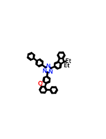 CCC1(CC)c2ccccc2-c2cc(-c3nc(-c4ccc(-c5ccccc5)cc4)nc(-c4ccc5c(c4)oc4cccc(-c6ccccc6)c45)n3)ccc21